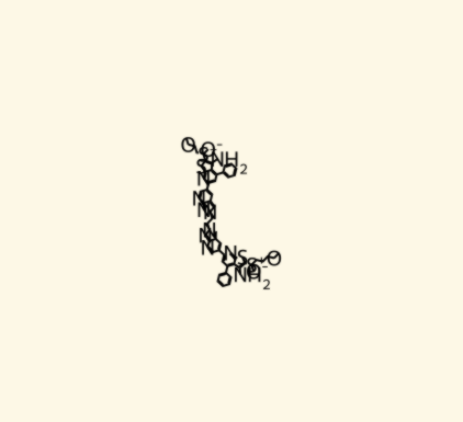 COCCC[S+]([O-])c1sc2nc(-c3cnc4nn(CCn5cc6cc(-c7cc(-c8ccccc8)c8c(N)c([S+]([O-])CCOC)sc8n7)cnc6n5)cc4c3)cc(-c3ccccc3)c2c1N